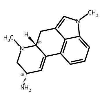 CN1C[C@@H](N)C=C2c3cccc4c3c(cn4C)C[C@H]21